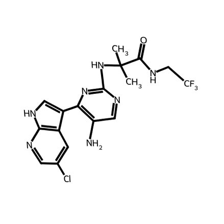 CC(C)(Nc1ncc(N)c(-c2c[nH]c3ncc(Cl)cc23)n1)C(=O)NCC(F)(F)F